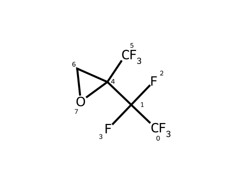 FC(F)(F)C(F)(F)C1(C(F)(F)F)CO1